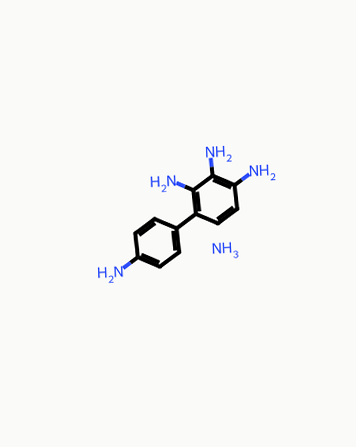 N.Nc1ccc(-c2ccc(N)c(N)c2N)cc1